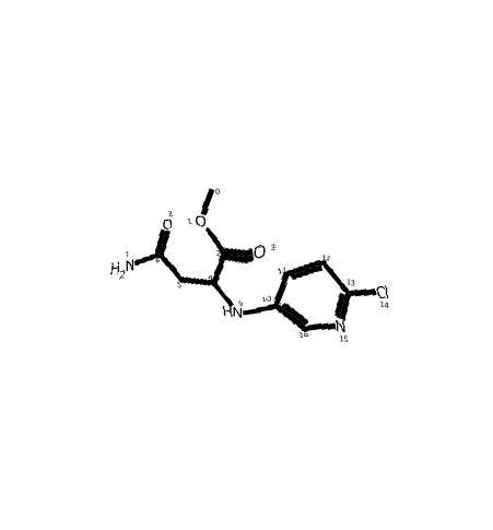 COC(=O)C(CC(N)=O)Nc1ccc(Cl)nc1